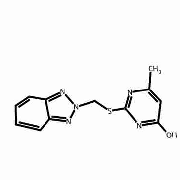 Cc1cc(O)nc(SCn2nc3ccccc3n2)n1